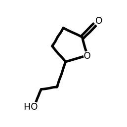 O=C1CCC(CCO)O1